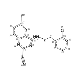 N#Cc1nc(NCCc2ccccc2Cl)c2cc(I)ccc2n1